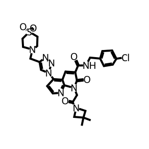 CC1(C)CN(C(=O)Cn2c(=O)c(C(=O)NCc3ccc(Cl)cc3)cc3c(-n4cc(CN5CCS(=O)(=O)CC5)nn4)ccnc32)C1